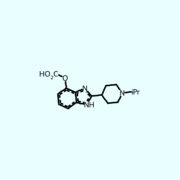 CC(C)N1CCC(c2nc3c(OC(=O)O)cccc3[nH]2)CC1